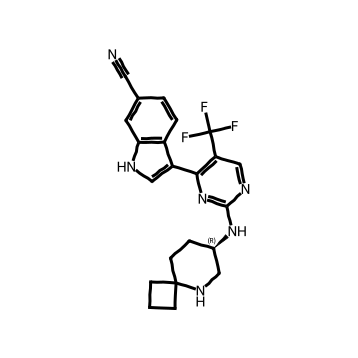 N#Cc1ccc2c(-c3nc(N[C@@H]4CCC5(CCC5)NC4)ncc3C(F)(F)F)c[nH]c2c1